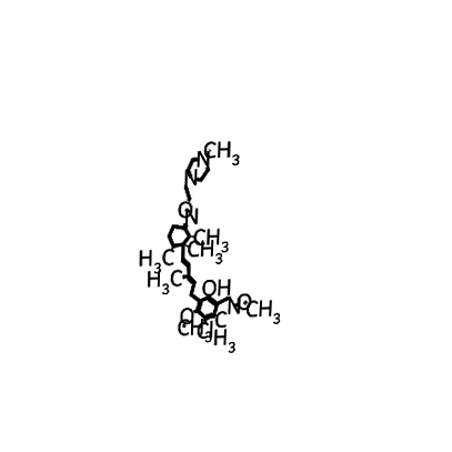 CO/N=C/c1c(C)c(Cl)c(OC)c(C/C=C(C)/C=C/[C@@]2(C)[C@H](C)CC/C(=N\OCCN3CCN(C)CC3)[C@@H]2C)c1O